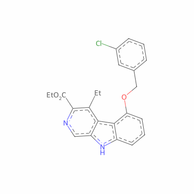 CCOC(=O)c1ncc2[nH]c3cccc(OCc4cccc(Cl)c4)c3c2c1CC